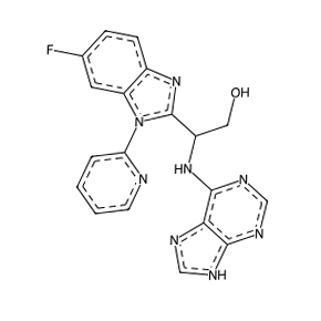 OCC(Nc1ncnc2[nH]cnc12)c1nc2ccc(F)cc2n1-c1ccccn1